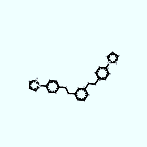 c1cc(CCc2ccc(-n3cccn3)cc2)cc(CCc2ccc(-n3cccn3)cc2)c1